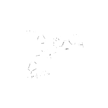 COc1ccc([C@H]2C(C(=O)/C=C/c3ccc(O)c(OC)c3)C(=O)C[C@H](c3ccc(O)c(OC)c3)[C@@H]2[N+](=O)[O-])cc1